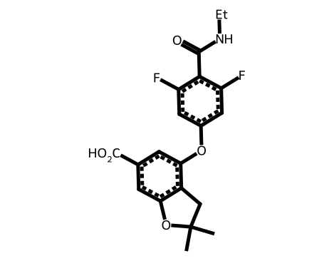 CCNC(=O)c1c(F)cc(Oc2cc(C(=O)O)cc3c2CC(C)(C)O3)cc1F